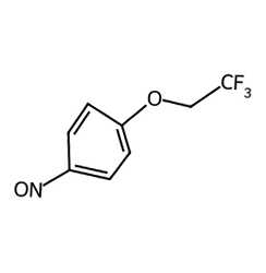 O=Nc1ccc(OCC(F)(F)F)cc1